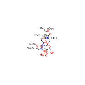 CCCCCCCCCCC[C@H](CC(=O)NC1C(OC[C@H](NC(=O)C[C@@H](CCCCCCCCCCC)OCCCCCCCCCC)C(=O)O)OC(CO)C(OP(=O)(O)O)C1NC(=O)C[C@@H](CCCCCCCCCCC)OCCCCCCCCCC)OCCCCCCCCCC